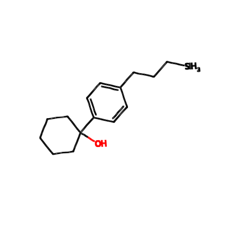 OC1(c2ccc(CCC[SiH3])cc2)CCCCC1